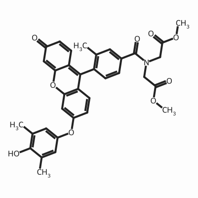 COC(=O)CN(CC(=O)OC)C(=O)c1ccc(-c2c3ccc(=O)cc-3oc3cc(Oc4cc(C)c(O)c(C)c4)ccc23)c(C)c1